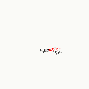 O=[SiH2].[Ca+2].[O-2]